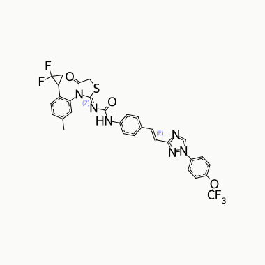 Cc1ccc(C2CC2(F)F)c(N2C(=O)CS/C2=N\C(=O)Nc2ccc(/C=C/c3ncn(-c4ccc(OC(F)(F)F)cc4)n3)cc2)c1